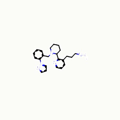 NCCCc1cccnc1C1CCCCN1Cc1ccccc1-n1cccn1